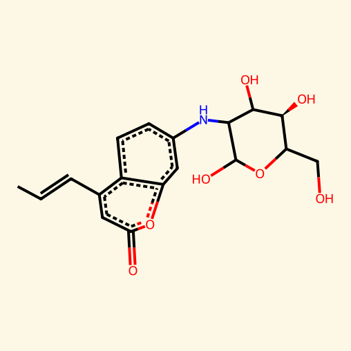 C/C=C/c1cc(=O)oc2cc(NC3C(O)OC(CO)[C@H](O)C3O)ccc12